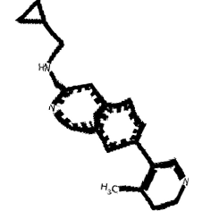 CC1=C(c2ccc3cc(NCC4CC4)ncc3c2)C=NCC1